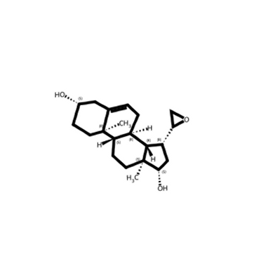 C[C@]12CC[C@H]3[C@@H](CC=C4C[C@@H](O)CC[C@@]43C)[C@@H]1[C@H](C1CO1)C[C@@H]2O